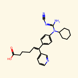 N#CN=C(N)N(c1ccc(C(=CCCCC(=O)O)c2cccnc2)cc1)C1CCCCC1